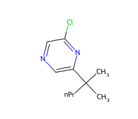 CCCC(C)(C)c1cncc(Cl)n1